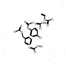 C=COC(=O)Cl.CC(C)COC(=O)Cl.COC(=O)Cl.O=C(Cl)OCc1ccccc1.O=C(Cl)Oc1ccc(Cl)cc1